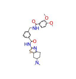 COc1ccc(C(=O)NCc2cccc(C(=O)Nc3nc4c(s3)CC(N(C)C)CC4)c2)cc1OC